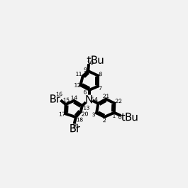 CC(C)(C)c1ccc(N(c2ccc(C(C)(C)C)cc2)c2cc(Br)cc(Br)c2)cc1